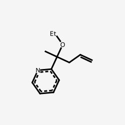 C=CCC(C)(OCC)c1ccccn1